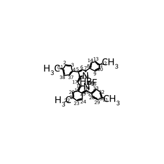 Cc1ccc(C2=CC(c3ccc(C)cc3)=N/C2=C\c2c3cc(C)ccc3c(-c3ccc(C)cc3)n2BF)cc1